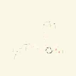 COC(=O)c1ccc(OCCOCCC(F)(F)CCCC(F)(F)C(F)(F)F)c(OCCOCCCC(F)(F)CC(F)(F)CC(F)(F)F)c1